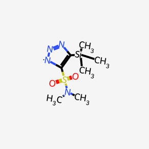 CN(C)S(=O)(=O)C1=C([Si](C)(C)C)N=N[N]1